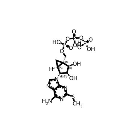 CSc1nc(N)c2ncn([C@H]3[C@H](O)[C@H](O)[C@]4(COP(=O)(O)OP(=O)(O)OP(=O)(O)O)C[C@H]34)c2n1